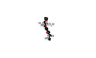 C[C@@H](CCc1ccccc1)C(NC(=O)O)c1nc(-c2ccc(-c3ccc(-c4c[nH]c([C@@H]5CCCN5)n4)cc3)cc2)c[nH]1